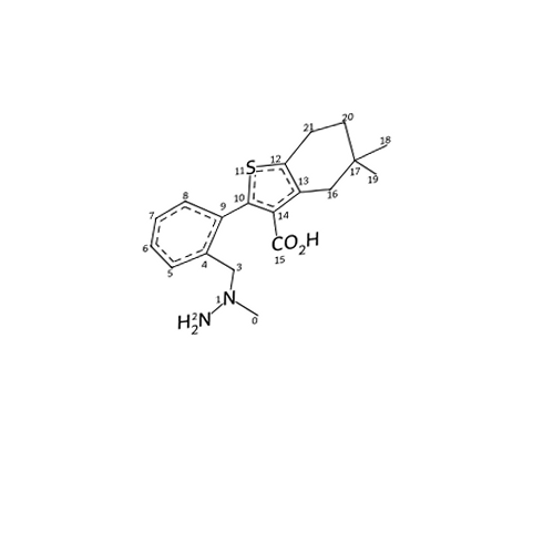 CN(N)Cc1ccccc1-c1sc2c(c1C(=O)O)CC(C)(C)CC2